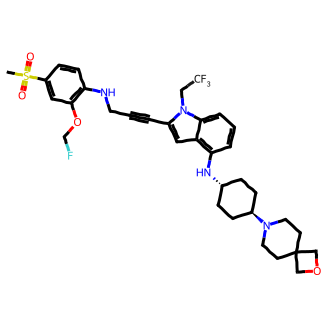 CS(=O)(=O)c1ccc(NCC#Cc2cc3c(N[C@H]4CC[C@H](N5CCC6(CC5)COC6)CC4)cccc3n2CC(F)(F)F)c(OCF)c1